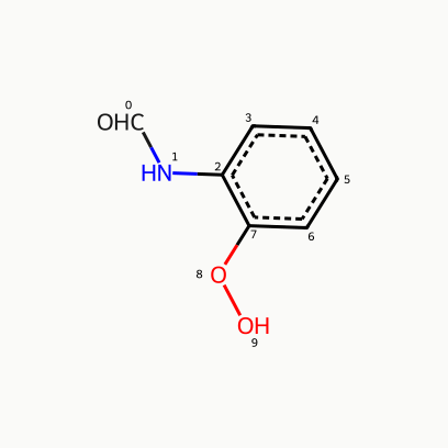 O=CNc1ccccc1OO